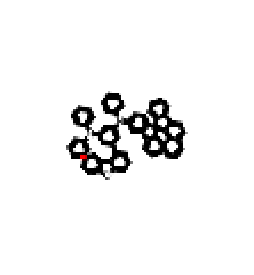 c1ccc(N(c2ccccc2)c2cc(-c3cccc4oc5ccccc5c34)cc(N(c3ccccc3)c3ccc4c(c3)-c3ccccc3C43c4ccccc4-c4ccc5ccccc5c43)c2)cc1